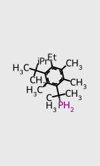 CCc1c(C)c(C)c(C(C)(C)P)c(C)c1C(C)(C)C(C)C